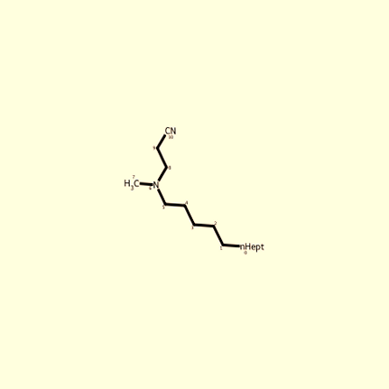 CCCCCCCCCCCCN(C)CCC#N